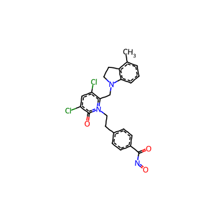 Cc1cccc2c1CCN2Cc1c(Cl)cc(Cl)c(=O)n1CCc1ccc(C(=O)N=O)cc1